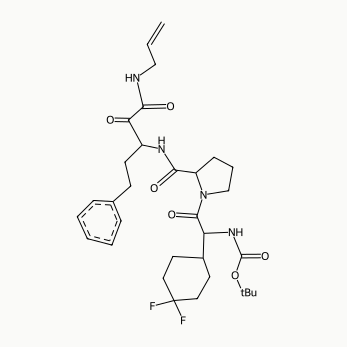 C=CCNC(=O)C(=O)C(CCc1ccccc1)NC(=O)C1CCCN1C(=O)C(NC(=O)OC(C)(C)C)C1CCC(F)(F)CC1